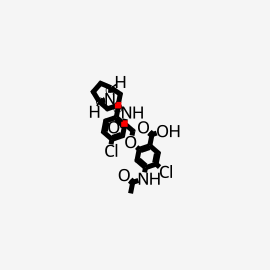 CC(=O)Nc1cc(OCC(=O)N[C@H]2C[C@H]3CC[C@@H](C2)N3Cc2ccc(Cl)cc2)c(C(=O)O)cc1Cl